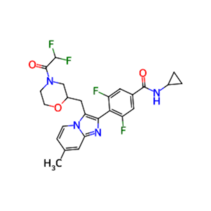 Cc1ccn2c(CC3CN(C(=O)C(F)F)CCO3)c(-c3c(F)cc(C(=O)NC4CC4)cc3F)nc2c1